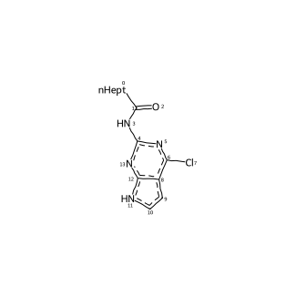 CCCCCCCC(=O)Nc1nc(Cl)c2cc[nH]c2n1